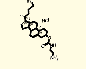 CC(C)CCC[C@@H](C)[C@H]1CCC2C3CC=C4CC(OC(=O)NCCN)CC[C@]4(C)C3CC[C@@]21C.Cl